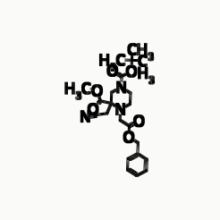 COC(=O)C1(CC#N)CN(C(=O)OC(C)(C)C)CCN1CC(=O)OCc1ccccc1